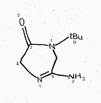 CC(C)(C)N1C(=O)CN=C1N